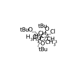 CC(C)(C)CC(COC(C)(C)CCOC(C)(C)C)OC(C)(C)C(C)(C)C(CCl)COC(C)(C)C